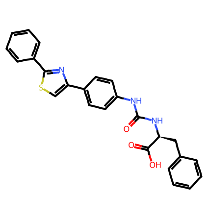 O=C(Nc1ccc(-c2csc(-c3ccccc3)n2)cc1)N[C@@H](Cc1ccccc1)C(=O)O